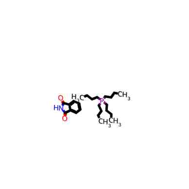 CCCC[P](CCCC)(CCCC)CCCC.O=C1NC(=O)c2ccccc21